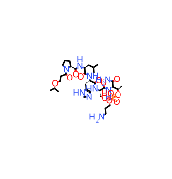 CC(C)C[C@H](NC(=O)[C@@H]1CCCN1C(=O)CCOC(C)C)C(=O)N[C@@H](Cc1cnc[nH]1)C(=O)N[C@@H](CO)C(=O)N[C@H](C(N)=O)[C@@H](C)OP(=O)(O)OCCCN